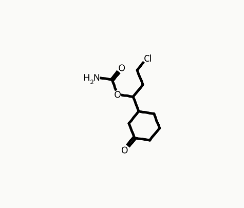 NC(=O)OC(CCCl)C1CCCC(=O)C1